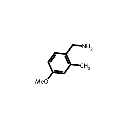 COc1ccc(CN)c(C)c1